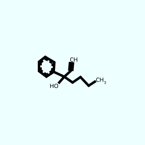 C#CC(O)(CCCC)c1ccccc1